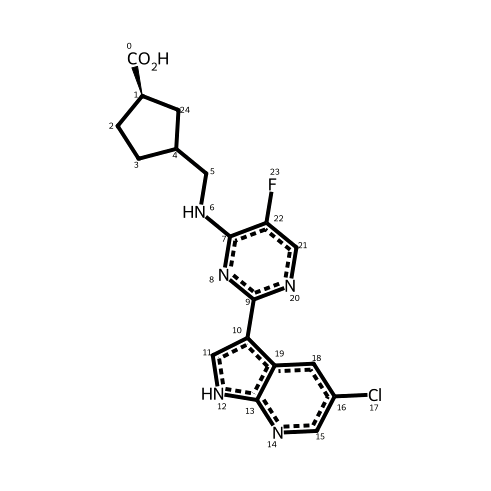 O=C(O)[C@@H]1CCC(CNc2nc(-c3c[nH]c4ncc(Cl)cc34)ncc2F)C1